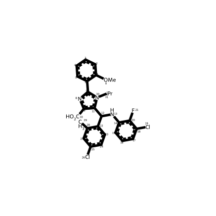 COc1ccccc1-c1nc(C(=O)O)c(C(Nc2cccc(Cl)c2F)c2ccc(Cl)cc2C)n1C(C)C